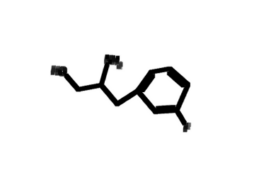 NC(CO)Cc1cccc(F)c1